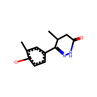 Cc1cc(C2=NNC(=O)CC2C)ccc1[O]